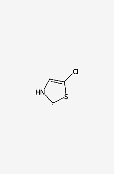 ClC1=CN[CH]S1